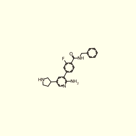 Nc1ncc(C2CCNC2)cc1-c1ccc(C(=O)NCc2ccccc2)c(F)c1